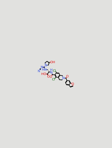 N#C/N=C(\NC[C@H](NC(=O)c1c(Cl)cc2c(c1Cl)CCN(C(=O)c1ccc3ccoc3c1)C2)C(=O)O)N1CC[C@@H](O)C1